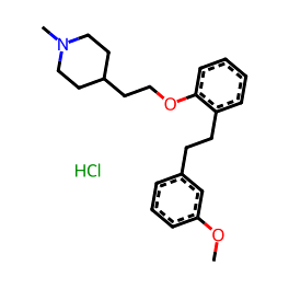 COc1cccc(CCc2ccccc2OCCC2CCN(C)CC2)c1.Cl